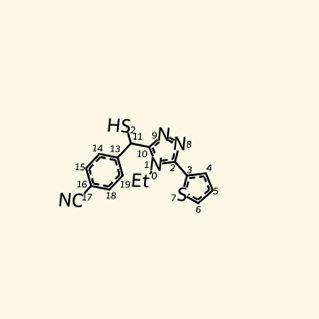 CCn1c(-c2cccs2)nnc1C(S)c1ccc(C#N)cc1